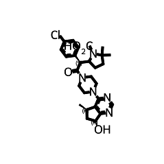 C[C@@H]1C[C@@H](O)c2ncnc(N3CCN(C(=O)[C@@H](c4ccc(Cl)cc4)C4CCC(C)(C)N4C(=O)O)CC3)c21